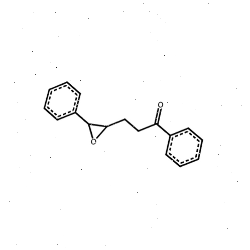 O=C(CCC1OC1c1ccccc1)c1ccccc1